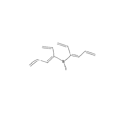 C=C/C=C(\C=C)B(I)/C(C=C)=C/C=C